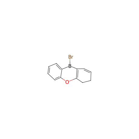 BrB1C2=C(CCC=C2)Oc2ccccc21